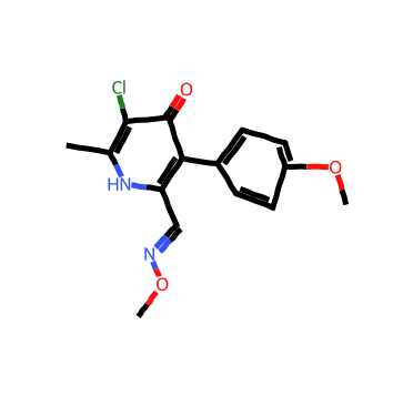 CO/N=C/c1[nH]c(C)c(Cl)c(=O)c1-c1ccc(OC)cc1